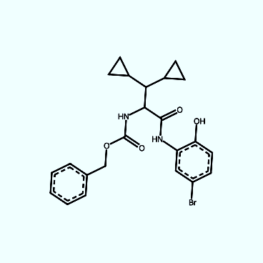 O=C(NC(C(=O)Nc1cc(Br)ccc1O)C(C1CC1)C1CC1)OCc1ccccc1